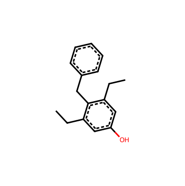 CCc1cc(O)cc(CC)c1Cc1ccccc1